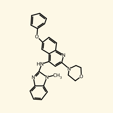 Cn1c(Nc2cc(N3CCOCC3)nc3ccc(Oc4ccccc4)cc23)nc2ccccc21